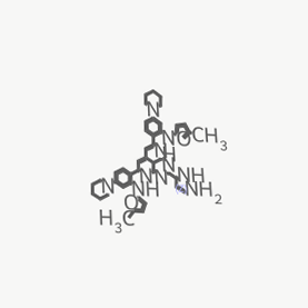 Cc1ccc(Nc2cc(N3CCCCC3)ccc2C2=CC3=CC(c4ccc(N5CCCCC5)cc4Nc4ccc(C)o4)=NC4=NC(C(=N)/C=C\N)=NC(=N2)C34)o1